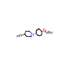 CCCCO[C@H]1CC[C@H](N2CCC(CCC)CC2)CC1